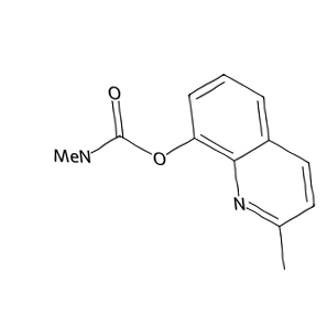 CNC(=O)Oc1cccc2ccc(C)nc12